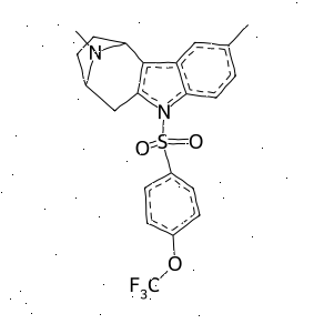 Cc1ccc2c(c1)c1c(n2S(=O)(=O)c2ccc(OC(F)(F)F)cc2)CC2CCC1N2C